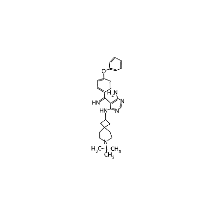 CC(C)(C)N1CCC2(CC1)CC(Nc1ncnc(N)c1C(=N)c1ccc(Oc3ccccc3)cc1)C2